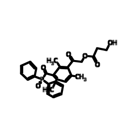 Cc1cc(C)c(C(=O)P(=O)(c2ccccc2)c2ccccc2)c(C)c1C(=O)COC(=O)CCO